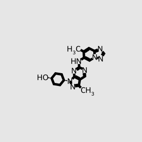 Cc1cc2ncnn2cc1Nc1ncc2c(C)nn([C@H]3CC[C@@H](O)CC3)c2n1